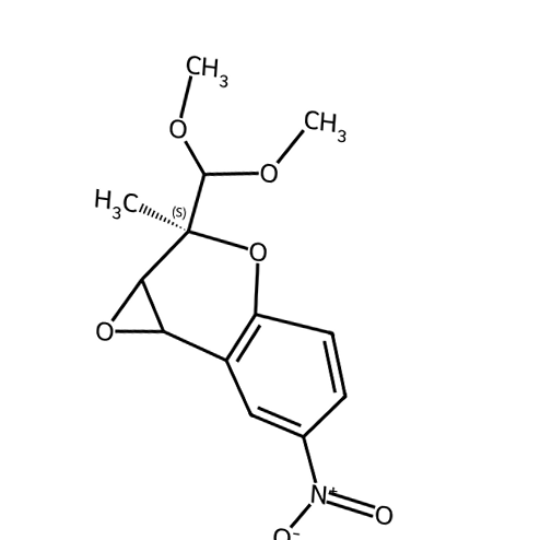 COC(OC)[C@@]1(C)Oc2ccc([N+](=O)[O-])cc2C2OC21